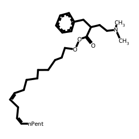 CCCCC/C=C\C/C=C\CCCCCCCCOOC(=O)C(CCN(C)C)Cc1ccccc1